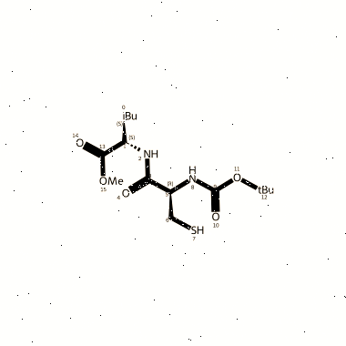 CC[C@H](C)[C@H](NC(=O)[C@H](CS)NC(=O)OC(C)(C)C)C(=O)OC